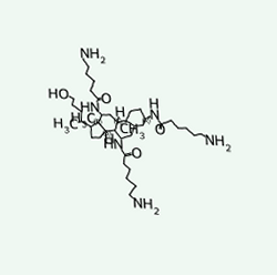 CC(CCCO)C1CC[C@H]2C3C(NC(=O)CCCCCN)CC4C[C@H](NC(=O)CCCCCN)CCC4(C)[C@H]3CC(NC(=O)CCCCCN)[C@]12C